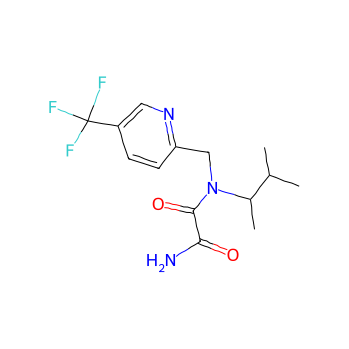 CC(C)C(C)N(Cc1ccc(C(F)(F)F)cn1)C(=O)C(N)=O